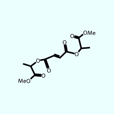 COC(=O)C(C)OC(=O)/C=C/C(=O)OC(C)C(=O)OC